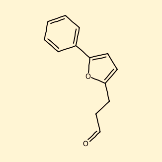 O=CCCc1ccc(-c2ccccc2)o1